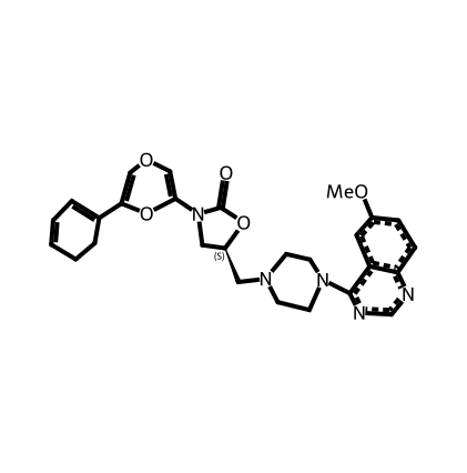 COc1ccc2ncnc(N3CCN(C[C@H]4CN(C5=COC=C(C6=CC=CCC6)O5)C(=O)O4)CC3)c2c1